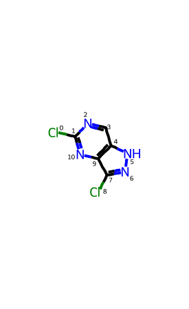 Clc1ncc2[nH]nc(Cl)c2n1